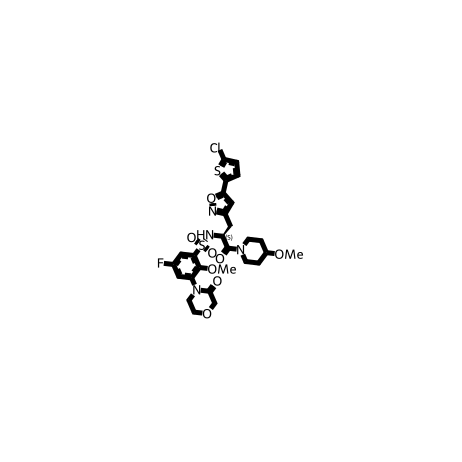 COc1c(N2CCOCC2=O)cc(F)cc1S(=O)(=O)N[C@@H](Cc1cc(-c2ccc(Cl)s2)on1)C(=O)N1CCC(OC)CC1